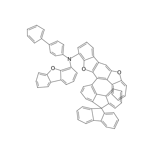 c1ccc(-c2ccc(N(c3cccc4c3oc3ccccc34)c3cccc4c3oc3c(-c5cccc6c5-c5ccccc5C65c6ccccc6-c6ccccc65)c5c(cc34)oc3ccccc35)cc2)cc1